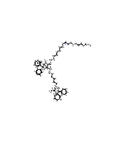 CCCCCCCC/C=C\CCCCCCCCOCC(COCCCCCCO[Si](c1ccccc1)(c1ccccc1)C(C)(C)C)O[Si](c1ccccc1)(c1ccccc1)C(C)(C)C